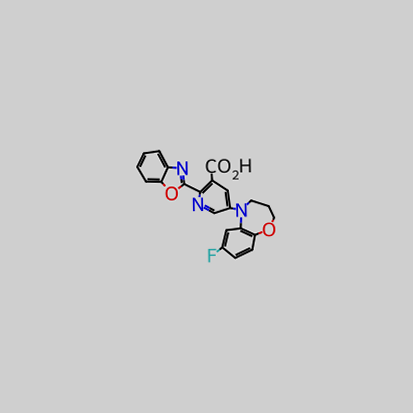 O=C(O)c1cc(N2CCCOc3ccc(F)cc32)cnc1-c1nc2ccccc2o1